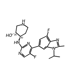 Cc1nc2c(F)cc(-c3nc(N[C@@H]4CCNC[C@H]4O)ncc3F)cc2n1C(C)C